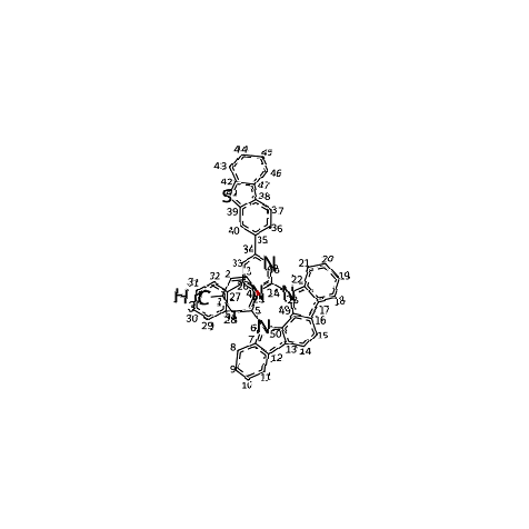 CC1C=CC=C(n2c3ccccc3c3ccc4c5ccccc5n(-c5nc(-c6ccccc6)cc(-c6ccc7c(c6)sc6ccccc67)n5)c4c32)C1